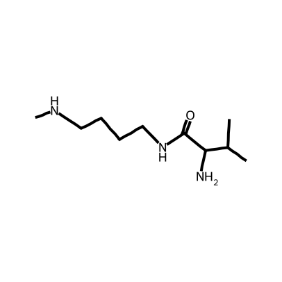 CNCCCCNC(=O)C(N)C(C)C